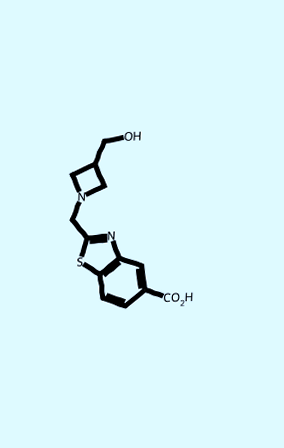 O=C(O)c1ccc2sc(CN3CC(CO)C3)nc2c1